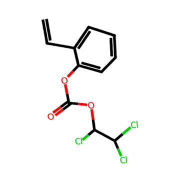 C=Cc1ccccc1OC(=O)OC(Cl)C(Cl)Cl